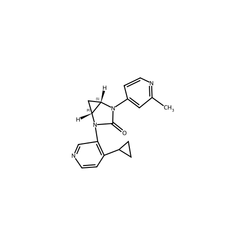 Cc1cc(N2C(=O)N(c3cnccc3C3CC3)[C@@H]3C[C@@H]32)ccn1